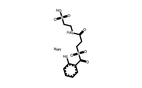 O=C(CCS(=O)(=O)C(=O)c1ccccc1S)[AsH]CCS(=O)(=O)O.[NaH]